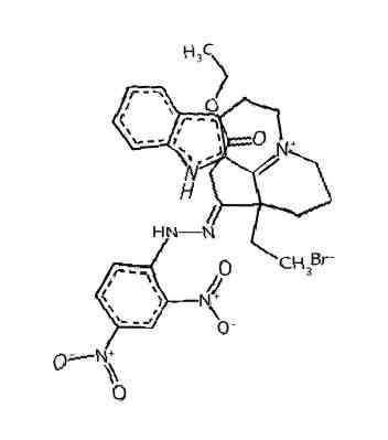 CCOC(=O)CC(=NNc1ccc([N+](=O)[O-])cc1[N+](=O)[O-])C1(CC)CCC[N+]2=C1c1[nH]c3ccccc3c1CC2.[Br-]